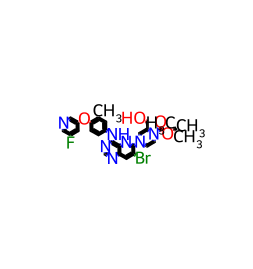 Cc1cc(Nc2ncnc3cc(Br)c(N4CCN(C(=O)OC(C)(C)C)[C@H](CO)C4)nc23)ccc1Oc1cncc(F)c1